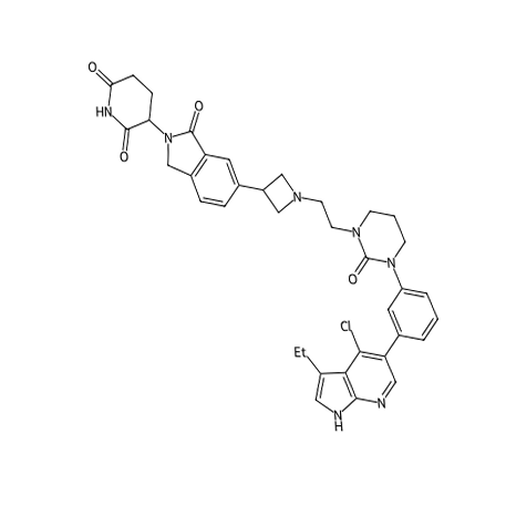 CCc1c[nH]c2ncc(-c3cccc(N4CCCN(CCN5CC(c6ccc7c(c6)C(=O)N(C6CCC(=O)NC6=O)C7)C5)C4=O)c3)c(Cl)c12